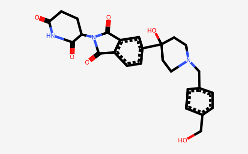 O=C1CCC(N2C(=O)c3ccc(C4(O)CCN(Cc5ccc(CO)cc5)CC4)cc3C2=O)C(=O)N1